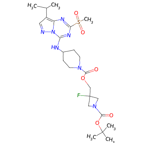 CC(C)c1cnn2c(NC3CCN(C(=O)OCC4(F)CN(C(=O)OC(C)(C)C)C4)CC3)nc(S(C)(=O)=O)nc12